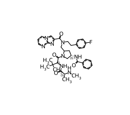 CN[C@@H](C)C(=O)N[C@H](C(=O)N1C[C@@H](NC(=O)c2ccccc2)CC1CN(CCc1ccc(F)cc1)C(=O)c1cn2cccnc2n1)C(C)(C)C